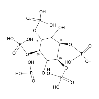 O=P(O)(O)OC1[C@@H](OP(=O)(O)O)[C@H](OP(=O)(O)O)C(O)[C@@H](OP(=O)(O)O)[C@H]1OP(=O)(O)O